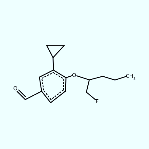 CCCC(CF)Oc1ccc(C=O)cc1C1CC1